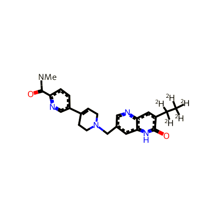 [2H]C([2H])([2H])C([2H])([2H])c1cc2ncc(CN3CC=C(c4ccc(C(=O)NC)nc4)CC3)cc2[nH]c1=O